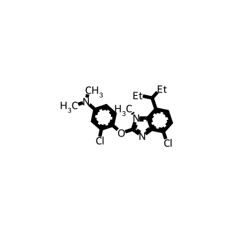 CCC(CC)c1ccc(Cl)c2nc(Oc3ccc(N(C)C)cc3Cl)n(C)c12